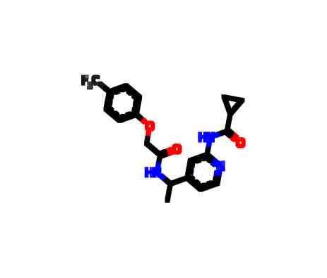 CC(NC(=O)COc1ccc(C(F)(F)F)cc1)c1ccnc(NC(=O)C2CC2)c1